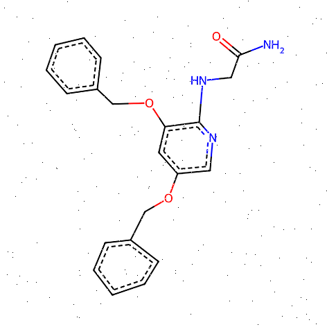 NC(=O)CNc1ncc(OCc2ccccc2)cc1OCc1ccccc1